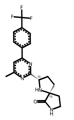 Cc1cc(-c2ccc(C(F)(F)F)cc2)nc([C@@H]2CC[C@@]3(CCNC3=O)N2)n1